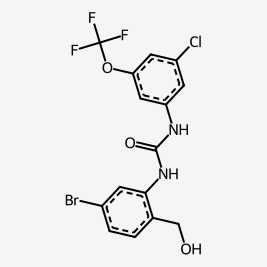 O=C(Nc1cc(Cl)cc(OC(F)(F)F)c1)Nc1cc(Br)ccc1CO